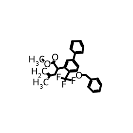 C=C(C)CC(C(=O)OC)c1cc(-c2ccccc2)cc(OCc2ccccc2)c1C(F)(F)F